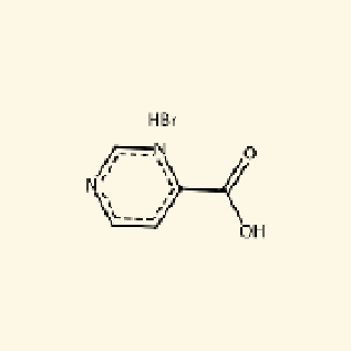 Br.O=C(O)c1ccncn1